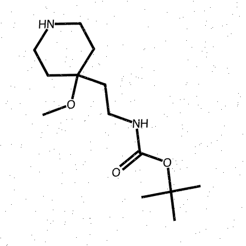 COC1(CCNC(=O)OC(C)(C)C)CCNCC1